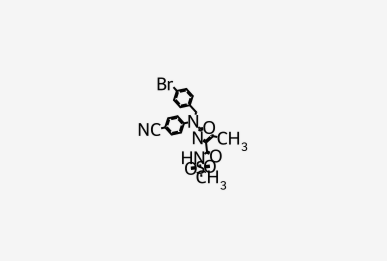 Cc1oc(N(Cc2ccc(Br)cc2)c2ccc(C#N)cc2)nc1C(=O)NS(C)(=O)=O